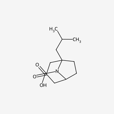 CC(C)CC12CCC(CC(=O)C1)N2C(=O)O